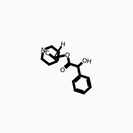 O=C(O[C@H]1CN2CCC1CC2)C(O)c1ccccc1